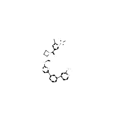 Cc1cc(C(=O)N2CC[C@H]2C(=O)Nc2nc(-c3cccc(-c4ccnc(N)c4)c3)cs2)cn1S(C)(=O)=O